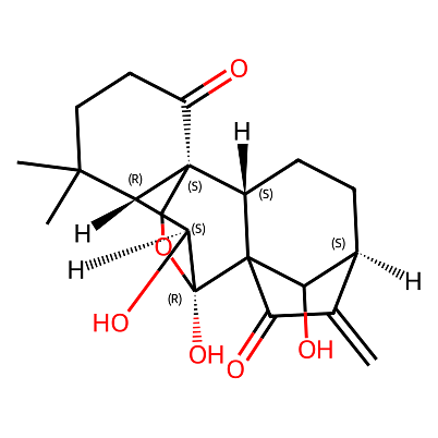 C=C1C(=O)C23C(O)[C@H]1CC[C@H]2[C@@]12CO[C@@]3(O)[C@@H](O)[C@@H]1C(C)(C)CCC2=O